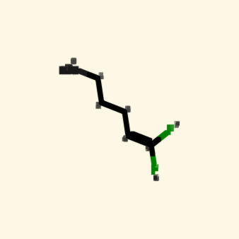 CCCCCCCC=C(F)F